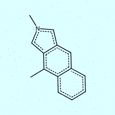 Cc1c2ccccc2cc2cn(C)cc12